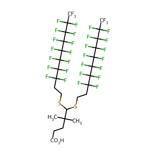 CC(C)(CCC(=O)O)C(SCCC(F)(F)C(F)(F)C(F)(F)C(F)(F)C(F)(F)C(F)(F)C(F)(F)C(F)(F)F)SCCC(F)(F)C(F)(F)C(F)(F)C(F)(F)C(F)(F)C(F)(F)C(F)(F)C(F)(F)F